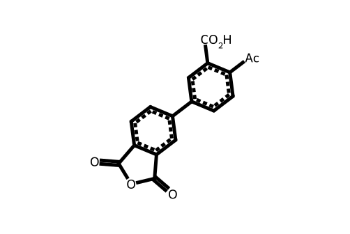 CC(=O)c1ccc(-c2ccc3c(c2)C(=O)OC3=O)cc1C(=O)O